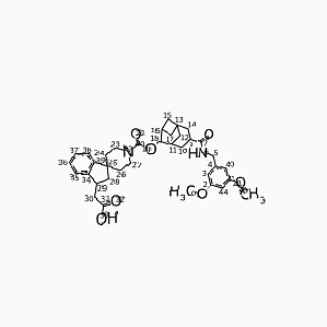 COc1cc(CNC(=O)C2CC3CC4(C2)CC(C4)C3OC(=O)N2CCC3(CC2)CC(CC(=O)O)c2ccccc23)cc(OC)c1